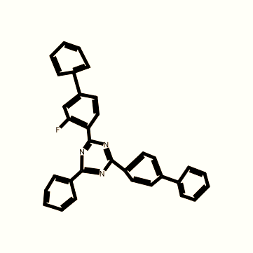 Fc1cc(-c2ccccc2)ccc1-c1nc(-c2ccccc2)nc(-c2ccc(-c3ccccc3)cc2)n1